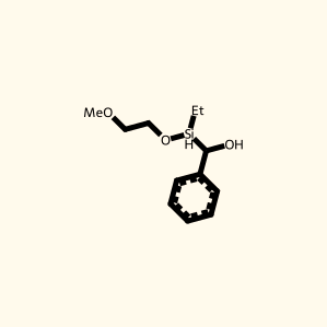 CC[SiH](OCCOC)C(O)c1ccccc1